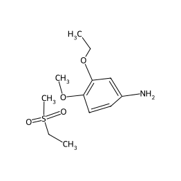 CCOc1cc(N)ccc1OC.CCS(C)(=O)=O